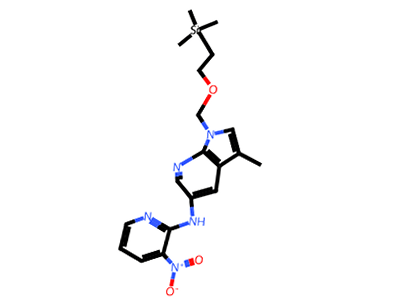 Cc1cn(COCC[Si](C)(C)C)c2ncc(Nc3ncccc3[N+](=O)[O-])cc12